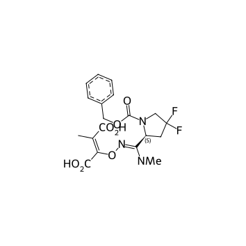 CNC(=NOC(C(=O)O)=C(C)C(=O)O)[C@@H]1CC(F)(F)CN1C(=O)OCc1ccccc1